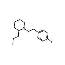 F[CH]CC1CCCCN1CCc1ccc(F)cc1